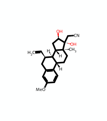 C=C[C@@H]1Cc2cc(OC)ccc2[C@H]2CC[C@@]3(C)[C@@H](C[C@@H](O)[C@@]3(O)CC#N)[C@H]12